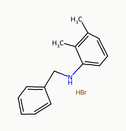 Br.Cc1cccc(NCc2ccccc2)c1C